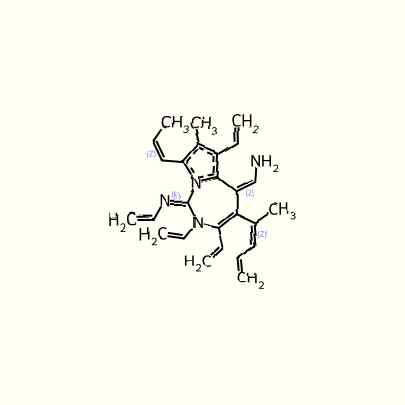 C=C/C=C(/C)C1=C(C=C)N(C=C)/C(=N\C=C)n2c(/C=C\C)c(C)c(C=C)c2/C1=C\N